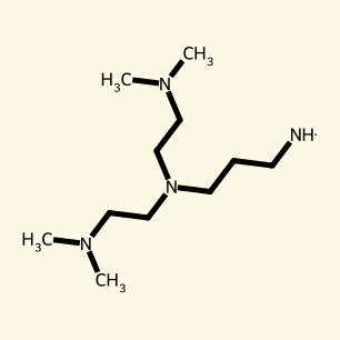 CN(C)CCN(CCC[NH])CCN(C)C